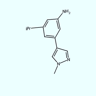 CC(C)c1cc(N)cc(-c2cnn(C)c2)c1